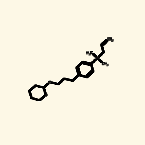 C=CC[Si](C)(C)c1ccc(CCCOC2CCCCO2)cc1